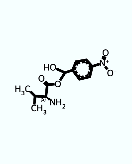 CC(C)[C@H](N)C(=O)OC(O)c1ccc([N+](=O)[O-])cc1